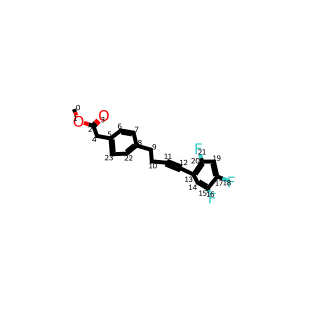 COC(=O)Cc1ccc(CCC#Cc2cc(F)c(F)cc2F)cc1